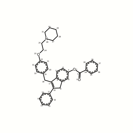 O=C(Oc1ccc2c(c1)CC(c1ccccc1)=C2Cc1ccc(OCCN2CCCCC2)cc1)c1ccccc1